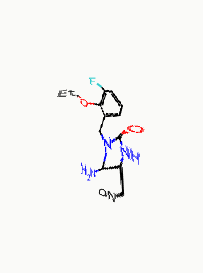 CCOc1c(F)cccc1CN1C(=O)NC(CN=O)C1N